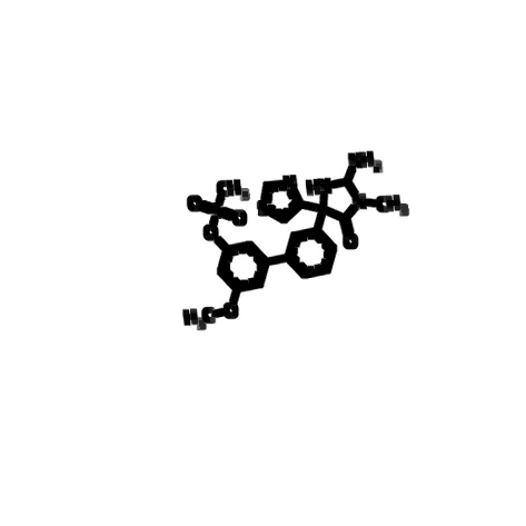 COc1cc(OS(C)(=O)=O)cc(-c2cccc(C3(c4cscn4)NC(N)N(C)C3=O)c2)c1